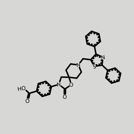 O=C(O)c1ccc(N2CC3(CCN(Cc4sc(-c5ccccc5)nc4-c4ccccc4)CC3)OC2=O)cc1